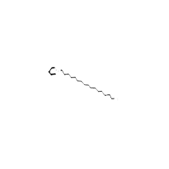 BrCCCCCCCCCCCCCCCC[n+]1ccccc1